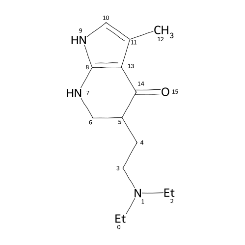 CCN(CC)CCC1CNc2[nH]cc(C)c2C1=O